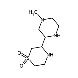 CN1CCNC(C2CS(=O)(=O)CCN2)C1